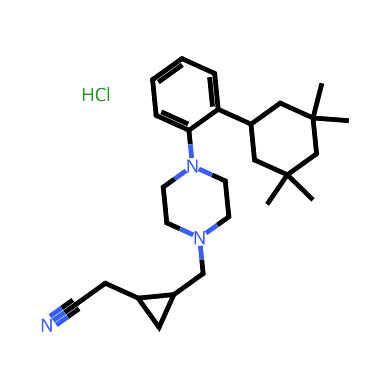 CC1(C)CC(c2ccccc2N2CCN(CC3CC3CC#N)CC2)CC(C)(C)C1.Cl